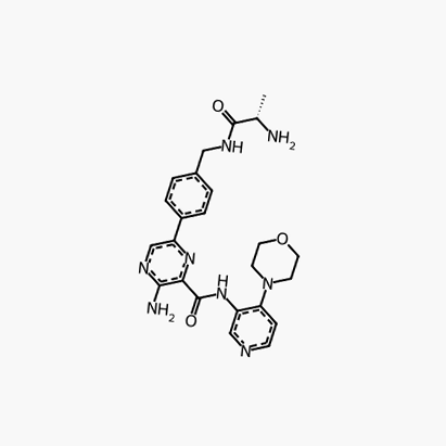 C[C@H](N)C(=O)NCc1ccc(-c2cnc(N)c(C(=O)Nc3cnccc3N3CCOCC3)n2)cc1